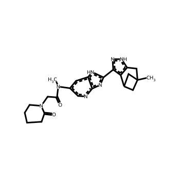 CN(C(=O)CN1CCCCC1=O)c1cnc2nc(-c3n[nH]c4c3C3CC(C)(C4)C3)[nH]c2c1